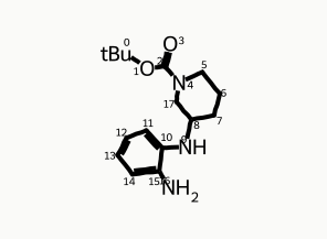 CC(C)(C)OC(=O)N1CCCC(Nc2ccccc2N)C1